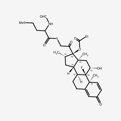 CCC(=O)O[C@]1(C(=O)CSC(=O)C(CCSC)NC=O)[C@@H](C)C[C@H]2[C@@H]3CCC4=CC(=O)C=C[C@]4(C)[C@@]3(F)[C@@H](O)C[C@@]21C